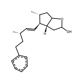 C[C@H](/C=C/[C@H]1[C@H](C)CC2OC(O)C[C@@H]21)CCc1ccccc1